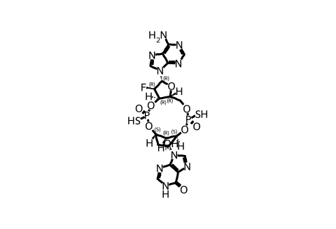 Nc1ncnc2c1ncn2[C@@H]1O[C@@H]2COP(=O)(S)O[C@@H]3[C@H](O)[C@H](C[C@H]3n3cnc4c(=O)[nH]cnc43)OP(=O)(S)O[C@H]2[C@H]1F